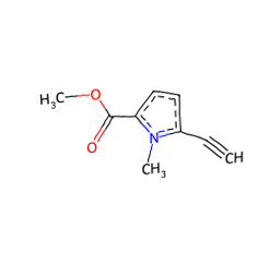 C#Cc1ccc(C(=O)OC)n1C